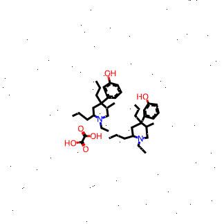 CCCC1CC(CCC)(c2cccc(O)c2)C(C)CN1CC.CCCC1CC(CCC)(c2cccc(O)c2)C(C)CN1CC.O=C(O)C(=O)O